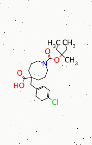 CCC(C)(CC)OC(=O)N1CCCC(CC2=CC=C(Cl)CC2)(C(=O)O)CCC1